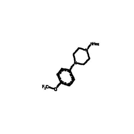 [CH2]CCCCCN1CCN(c2ccc(OC(F)(F)F)cc2)CC1